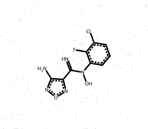 N=C(c1nonc1N)N(O)c1cccc(Cl)c1F